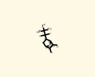 CC1C2CC(C(C)(C)C(F)(F)F)C(O2)C1C